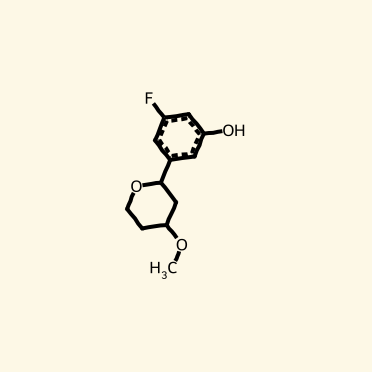 COC1CCOC(c2cc(O)cc(F)c2)C1